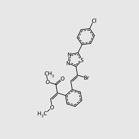 CO/C=C(/C(=O)OC)c1ccccc1C=C(Br)c1nnc(-c2ccc(Cl)cc2)s1